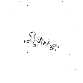 C[C@@]1(NC(=O)OCC[Si](C)(C)C)c2ccccc2[C@H](O)[C@H]1O